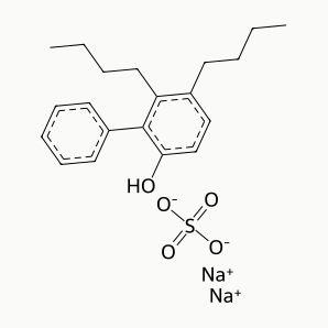 CCCCc1ccc(O)c(-c2ccccc2)c1CCCC.O=S(=O)([O-])[O-].[Na+].[Na+]